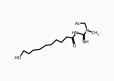 CC(=O)CN(C)C(=N)NC(=O)CCCCCCCCCO